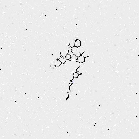 C=CCOC/C=C/C1CC(=C)[C@H](CCC2CC(C)C(C)(C)C(C[C@@H]3OC(CC(O)CN)[C@H](OC)C3CS(=O)(=O)c3ccccc3)O2)O1